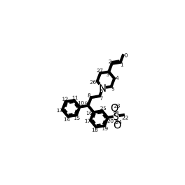 C/C=C/C1CCN(CCC(c2ccccc2)c2cccc(S(C)(=O)=O)c2)CC1